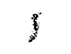 CC(C)(C)c1cc(NC(=O)Nc2cnc3[nH]c(C(=O)c4cc5cc(O)ccc5[nH]4)cc3c2)no1